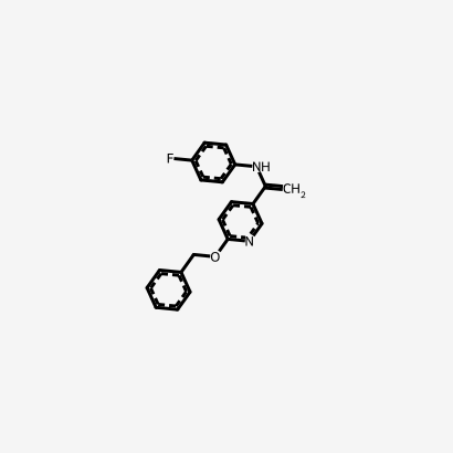 C=C(Nc1ccc(F)cc1)c1ccc(OCc2ccccc2)nc1